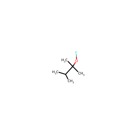 CC(C)C(C)(C)OF